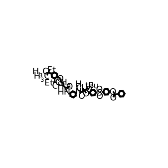 CCC(C)(C)c1ccc(OCCCC(=O)Nc2cccc(NC(=O)C(Cl)(Oc3ccc(S(=O)(=O)c4ccc(OC(=O)c5ccccc5)cc4)cc3)C(=O)C(C)(C)C)c2)c(C(C)(C)CC)c1